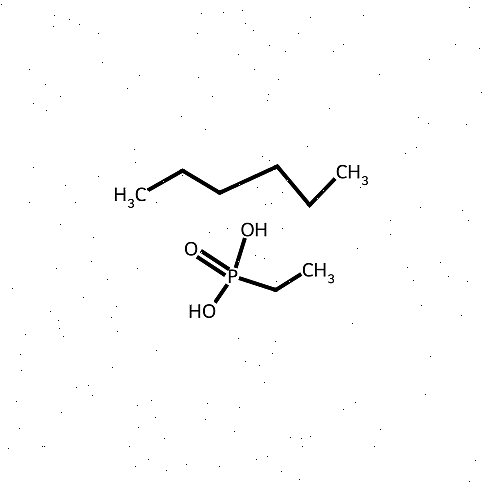 CCCCCC.CCP(=O)(O)O